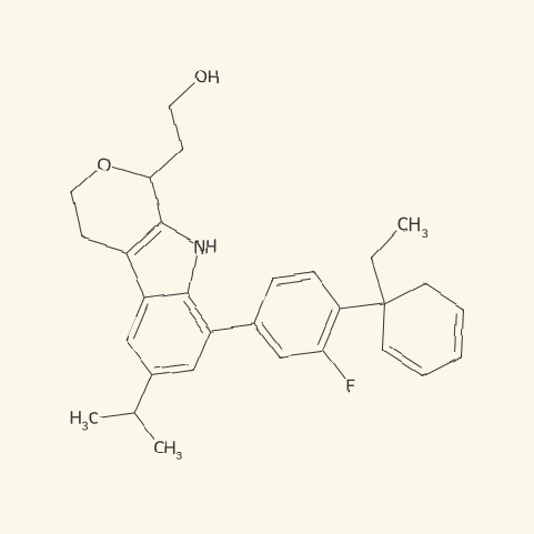 CCC1(c2ccc(-c3cc(C(C)C)cc4c5c([nH]c34)C(CCO)OCC5)cc2F)C=CC=CC1